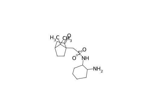 CC1(C)C2CCC1(CS(=O)(=O)NC1CCCCC1N)C(=O)C2